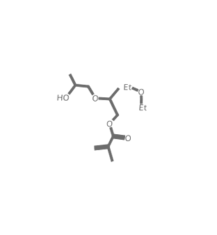 C=C(C)C(=O)OCC(C)OCC(C)O.CCOCC